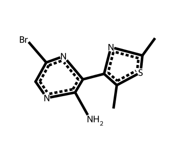 Cc1nc(-c2nc(Br)cnc2N)c(C)s1